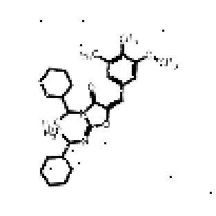 COc1cc(/C=C2/O/C(=N/C(C)C3CCCCC3)N(C(C)C3CCCCC3)C2=O)cc(C)c1C